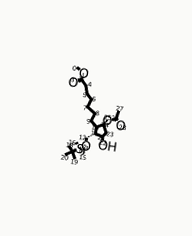 COC(=O)CCCCCCC1[C@@H](CO[Si](C)(C)C(C)(C)C)C(O)C[C@@H]1OC(C)=O